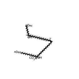 CCCCCCCCCCCCCCCCCCCCCCCC[C@@H](C(=O)O)[C@@H](O)CCCCCCCCCCCCCCCC[C@H]1C[C@@H]1[C@@H](C)CCCCCCCCCCCCCCCCCC[C@H](O)[C@H](C)CCCCCCCCCCCCCCCCCC